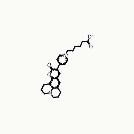 O=C([O-])CCCCC[n+]1ccc(-c2cc3cc4c5c(c3oc2=O)CCCN5CCC4)cc1